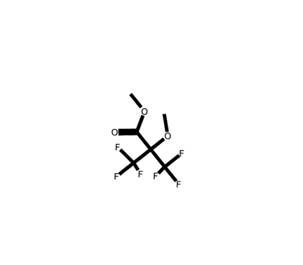 COC(=O)C(OC)(C(F)(F)F)C(F)(F)F